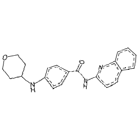 O=C(Nc1ccc2ccccc2n1)c1ccc(NC2CCOCC2)cc1